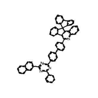 c1ccc(-c2nc(-c3ccc(-c4ccc(-c5nc6ccccc6c6c5-c5ccccc5C65c6ccccc6-c6ccccc65)cc4)cc3)nc(-c3ccc4ccccc4c3)n2)cc1